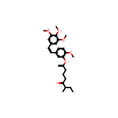 C=C(CCCC(=O)C(C)CC)Oc1cc(/C=C\c2cc(OC)c(OC)c(OC)c2)ccc1OC